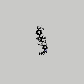 O=C(N[C@@H]1CC/C(=N/O)C1)c1noc(-c2ccc(C(F)(F)F)cc2)c1Cl